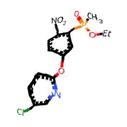 CCOP(C)(=O)c1cc(Oc2ccc(Cl)cn2)ccc1[N+](=O)[O-]